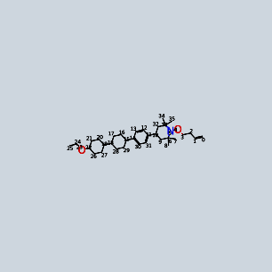 C=CCCON1C(C)(C)CC(c2ccc(C3CCC(C4CCC(OCC)CC4)CC3)cc2)CC1(C)C